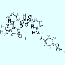 COc1ccc(CCNc2cccc(S(=O)(=O)NC(=O)c3cccnc3N3CC(C)CC3(C)C)n2)cc1